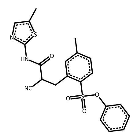 Cc1ccc(S(=O)(=O)Oc2ccccc2)c(CC(C#N)C(=O)Nc2ncc(C)s2)c1